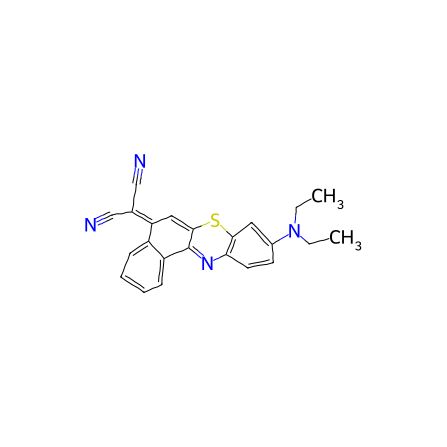 CCN(CC)c1ccc2c(c1)Sc1cc(=C(C#N)C#N)c3ccccc3c1=N2